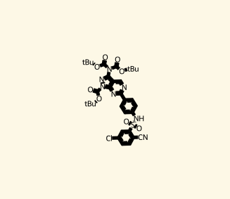 CC(C)(C)OC(=O)N(C(=O)OC(C)(C)C)c1nn(C(=O)OC(C)(C)C)c2nc(-c3ccc(NS(=O)(=O)c4cc(Cl)ccc4C#N)cc3)ncc12